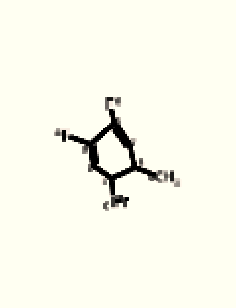 CC(C)C1C=C(F)C(F)=CC1C